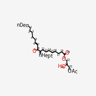 CCCCCCCCCCCCCCCC=CC(=O)C(CCCCCCC)CCCCCCCC(=O)OCC(O)COC(C)=O